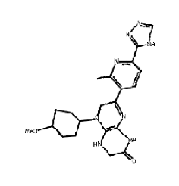 COC1CCC(N2CC(c3ccc(-c4nnc[nH]4)nc3C)=NC3=C2NCC(=O)N3)CC1